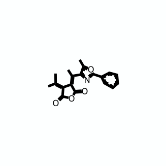 CC(C)=C1C(=O)OC(=O)C1=C(C)c1nc(-c2ccccc2)oc1C